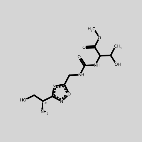 COC(=O)C(NC(=O)NCc1nc([C@@H](N)CO)no1)C(C)O